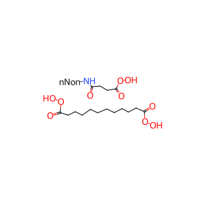 CCCCCCCCCNC(=O)CCC(=O)OO.O=C(CCCCCCCCCCC(=O)OO)OO